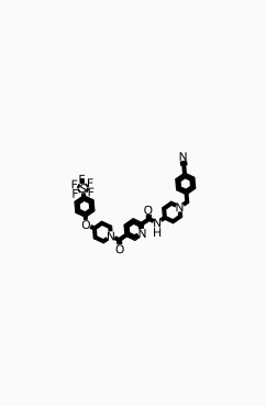 N#Cc1ccc(CN2CCC(NC(=O)c3ccc(C(=O)N4CCC(Oc5ccc(S(F)(F)(F)(F)F)cc5)CC4)cn3)CC2)cc1